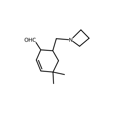 CC1(C)C=CC(C=O)C(CN2CCC2)C1